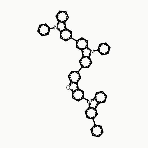 c1ccc(-c2ccc3c(c2)c2ccccc2n3-c2ccc3oc4ccc(-c5ccc6c(c5)c5cc(-c7ccc8c(c7)c7ccccc7n8-c7ccccc7)ccc5n6-c5ccccc5)cc4c3c2)cc1